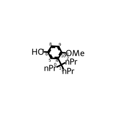 CCCC(CCC)(CCC)c1cc(O)ccc1OC